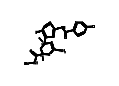 CC(C)(C)NC(=O)[C@@]1(C)C[C@@](C)(c2cc(NC(=O)c3ccc(Cl)cn3)ccc2F)N=C(N)S1